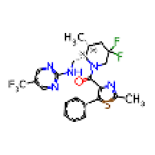 Cc1nc(C(=O)N2CC(F)(F)C[C@@H](C)[C@H]2CNc2ncc(C(F)(F)F)cn2)c(-c2ccccc2)s1